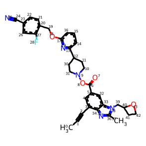 CC#Cc1cc(C(=O)ON2CCC(c3cccc(OCc4ccc(C#N)cc4F)n3)CC2)cc2c1nc(C)n2CC1CCO1